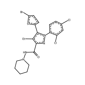 CCc1c(C(=O)NN2CCCCC2)nn(-c2ccc(Cl)cc2Cl)c1-c1ccc(Br)s1